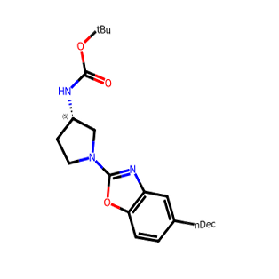 CCCCCCCCCCc1ccc2oc(N3CC[C@H](NC(=O)OC(C)(C)C)C3)nc2c1